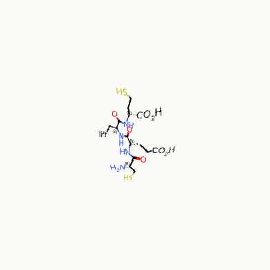 CC(C)C[C@H](NC(=O)[C@H](CCC(=O)O)NC(=O)[C@@H](N)CS)C(=O)N[C@H](CCS)C(=O)O